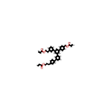 C=CC(=O)OCCCc1ccc(-c2cccc(-c3cc(-c4ccc(COC(=O)C=C)cc4)cc(-c4cccc(CCOC(=O)C=C)c4)c3)c2)cc1